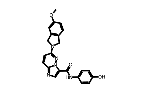 COc1ccc2c(c1)CN(c1ccc3ncc(C(=O)Nc4ccc(O)cc4)n3n1)C2